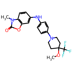 COC1(C(F)(F)F)CCN(c2ccc(Nc3ccc4c(c3)oc(=O)n4C)cc2)CC1